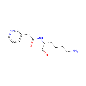 NCCCC[C@H]([C]=O)NC(=O)Cc1cccnc1